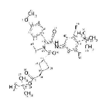 COc1ccc2c(c1)CCN(C(=O)[C@H]1C[C@H](CC(=O)OC(C)(C)C)C1)[C@H]2C(=O)Nc1cc(F)c([Si](C)(C)C)c(F)c1